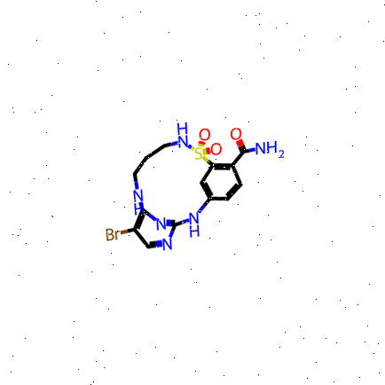 NC(=O)c1ccc2cc1S(=O)(=O)NCCCNc1nc(ncc1Br)N2